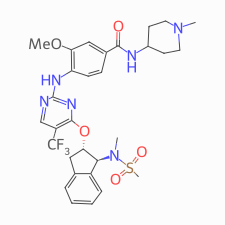 COc1cc(C(=O)NC2CCN(C)CC2)ccc1Nc1ncc(C(F)(F)F)c(O[C@H]2Cc3ccccc3[C@@H]2N(C)S(C)(=O)=O)n1